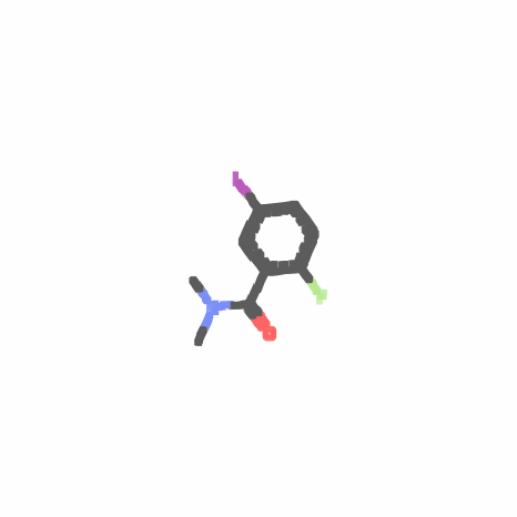 CN(C)C(=O)c1cc(I)ccc1F